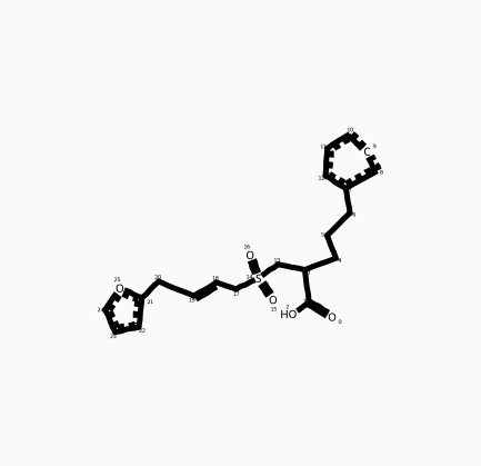 O=C(O)C(CCCc1ccccc1)CS(=O)(=O)CC=CCc1ccco1